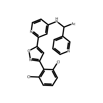 CC(=O)C(Nc1ccnc(-c2cc(-c3c(Cl)cccc3Cl)no2)c1)c1cccnc1